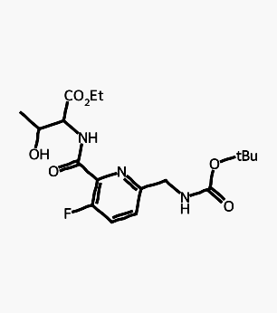 CCOC(=O)C(NC(=O)c1nc(CNC(=O)OC(C)(C)C)ccc1F)C(C)O